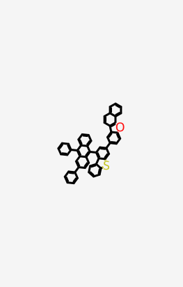 c1ccc(-c2ccc3c(-c4cc(-c5ccc6oc7c8ccccc8ccc7c6c5)cc5sc6ccccc6c45)c4ccccc4c(-c4ccccc4)c3c2)cc1